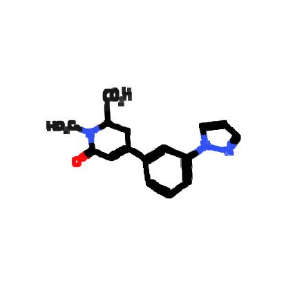 O=C(O)C1CC(c2cccc(-n3cccn3)c2)=CC(=O)N1C(=O)O